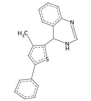 Cc1cc(-c2ccccc2)sc1C1NC=Nc2ccccc21